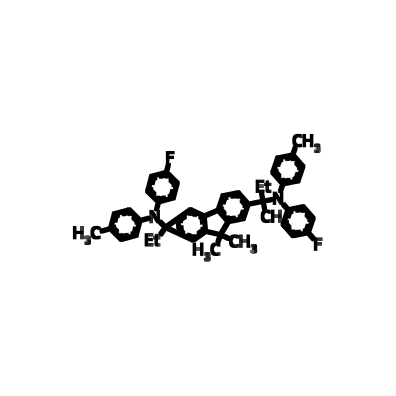 CCC(C)(c1ccc2c(c1)C(C)(C)c1cc3c(cc1-2)C3(CC)N(c1ccc(C)cc1)c1ccc(F)cc1)N(c1ccc(C)cc1)c1ccc(F)cc1